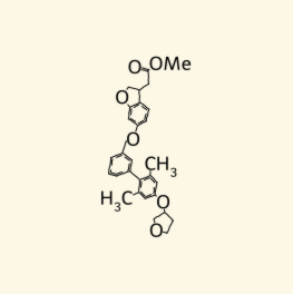 COC(=O)CC1COc2cc(OCc3cccc(-c4c(C)cc(OC5CCOC5)cc4C)c3)ccc21